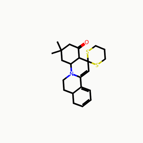 CC1(C)CC(=O)C2C(C1)N1CCC3CC=CC=C3C1=CC21SCCCS1